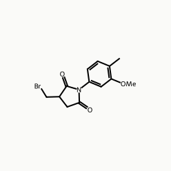 COc1cc(N2C(=O)CC(CBr)C2=O)ccc1C